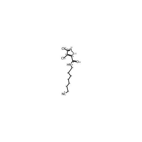 N#CCCCCCCCNC(=O)c1snc(Cl)c1Cl